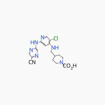 N#Cc1cnc(Nc2cc(NCC3CCN(C(=O)O)CC3)c(Cl)cn2)cn1